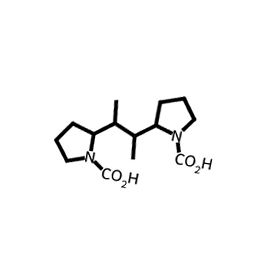 CC(C(C)C1CCCN1C(=O)O)C1CCCN1C(=O)O